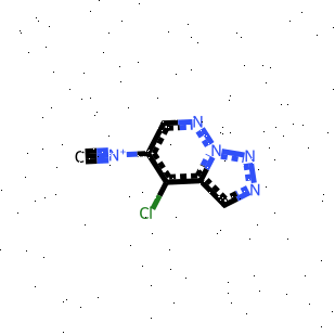 [C-]#[N+]c1cnn2nncc2c1Cl